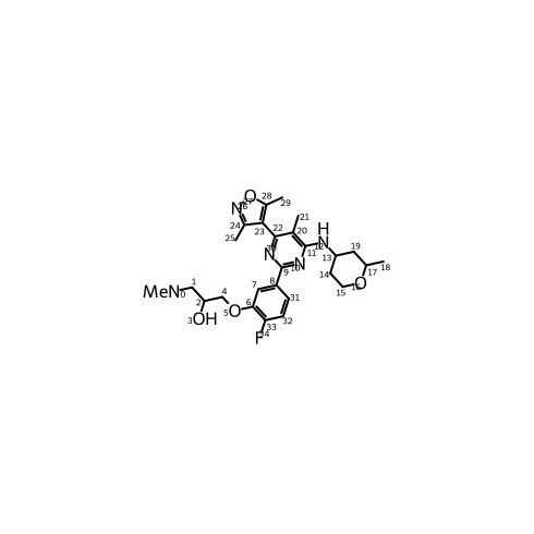 CNCC(O)COc1cc(-c2nc(NC3CCOC(C)C3)c(C)c(-c3c(C)noc3C)n2)ccc1F